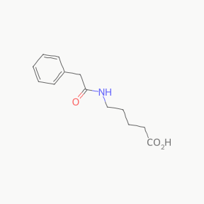 O=C(O)CCCCNC(=O)Cc1ccccc1